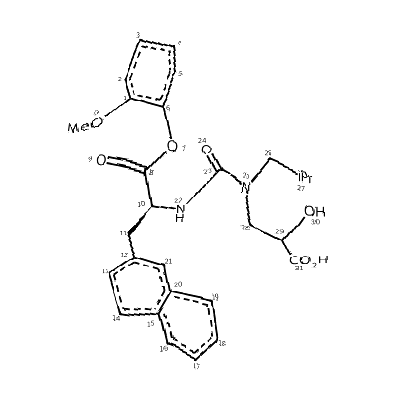 COc1ccccc1OC(=O)[C@H](Cc1ccc2ccccc2c1)NC(=O)N(CC(C)C)CC(O)C(=O)O